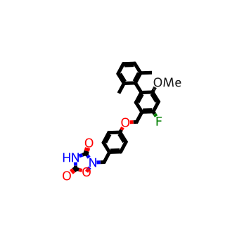 COc1cc(F)c(COc2ccc(Cn3oc(=O)[nH]c3=O)cc2)cc1-c1c(C)cccc1C